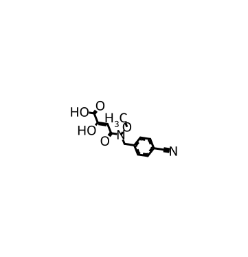 CON(Cc1ccc(C#N)cc1)C(=O)C=C(O)C(=O)O